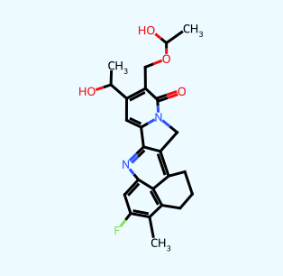 Cc1c(F)cc2nc3c(c4c2c1CCC4)Cn1c-3cc(C(C)O)c(COC(C)O)c1=O